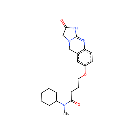 CCCCN(C(=O)CCCOc1ccc2c(c1)CN1CC(=O)NC1=N2)C1CCCCC1